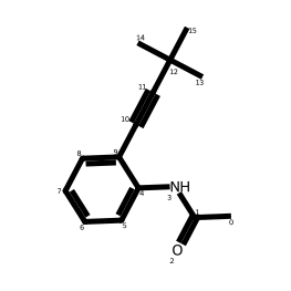 CC(=O)Nc1ccccc1C#CC(C)(C)C